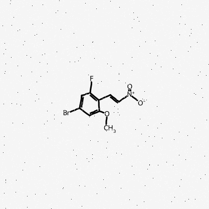 COc1cc(Br)cc(F)c1C=C[N+](=O)[O-]